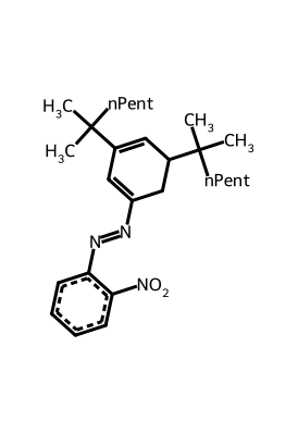 CCCCCC(C)(C)C1=CC(C(C)(C)CCCCC)CC(N=Nc2ccccc2[N+](=O)[O-])=C1